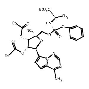 CCOC(=O)[C@H](C)N[P@](=O)(OC[C@@]1(C#N)O[C@@H](c2ccc3c(N)ncnn23)[C@H](OC(=O)CC)[C@@H]1OC(=O)CC)Oc1ccccc1